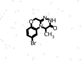 CC1C(=O)NN=C2COc3ccc(Br)cc3N21